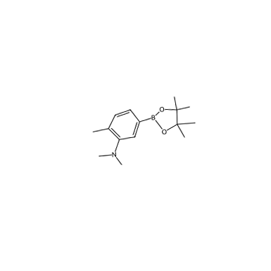 Cc1ccc(B2OC(C)(C)C(C)(C)O2)cc1N(C)C